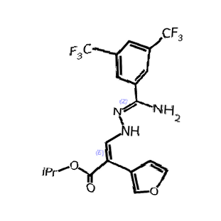 CC(C)OC(=O)/C(=C/N/N=C(\N)c1cc(C(F)(F)F)cc(C(F)(F)F)c1)c1ccoc1